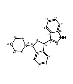 c1ccc2c(c1)C(c1c[nH]c3ccccc13)CC2N1CCOCC1